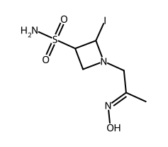 CC(CN1CC(S(N)(=O)=O)C1I)=NO